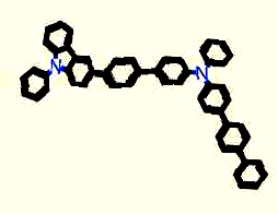 c1ccc(-c2ccc(-c3ccc(N(c4ccccc4)c4ccc(-c5ccc(-c6ccc7c(c6)c6ccccc6n7-c6ccccc6)cc5)cc4)cc3)cc2)cc1